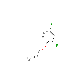 C=CCOc1ccc(Br)cc1F